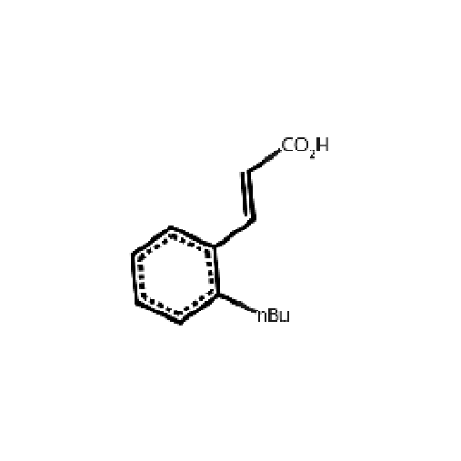 CCCCc1ccccc1C=CC(=O)O